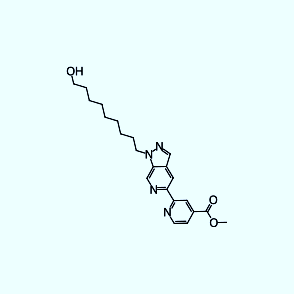 COC(=O)c1ccnc(-c2cc3cnn(CCCCCCCCCO)c3cn2)c1